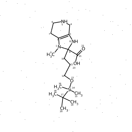 CN1C2=C(CNCC2)NC1(CCCO[Si](C)(C)C(C)(C)C)C(=O)O